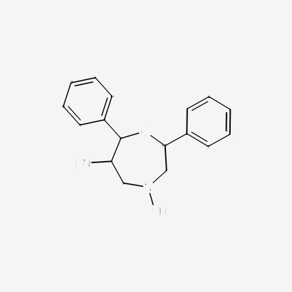 CN1CC(c2ccccc2)OC(c2ccccc2)C(N)C1